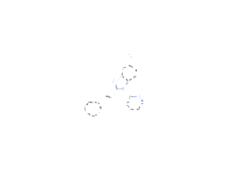 Nc1ccc2c(c1)nc(C=Cc1ccccc1)n2-c1ccccn1